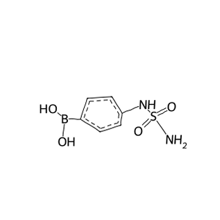 NS(=O)(=O)Nc1ccc(B(O)O)cc1